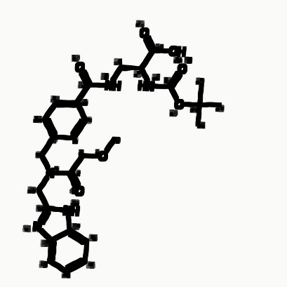 COCC(=O)N(Cc1ccc(C(=O)NC[C@H](NC(=O)OC(C)(C)C)C(=O)O)cc1)Cc1nc2ccccc2[nH]1